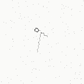 CCCCCCCCCCCC(CCCC)=Nc1ccccc1